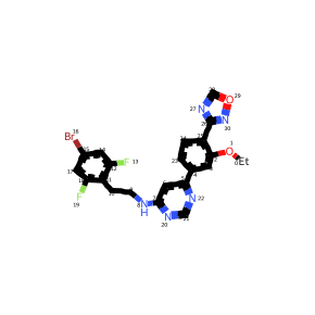 CCOc1cc(-c2cc(NCCc3c(F)cc(Br)cc3F)ncn2)ccc1-c1ncon1